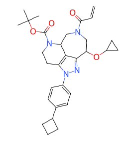 C=CC(=O)N1CC(OC2CC2)c2nn(-c3ccc(C4CCC4)cc3)c3c2C(C1)N(C(=O)OC(C)(C)C)CC3